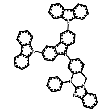 c1ccc(N2c3cc(-n4c5ccc(-n6c7ccccc7c7ccccc76)cc5c5cc(-n6c7ccccc7c7ccccc76)ccc54)ccc3Cn3c2nc2ccccc23)cc1